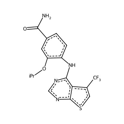 CC(C)Oc1cc(C(N)=O)ccc1Nc1ncnc2scc(C(F)(F)F)c12